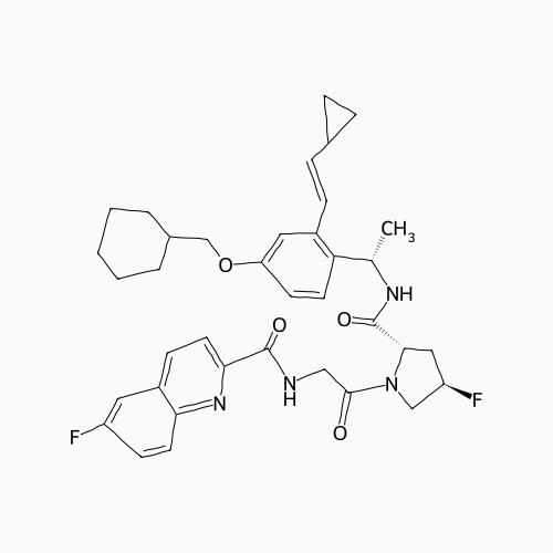 C[C@H](NC(=O)[C@@H]1C[C@@H](F)CN1C(=O)CNC(=O)c1ccc2cc(F)ccc2n1)c1ccc(OCC2CCCCC2)cc1/C=C/C1CC1